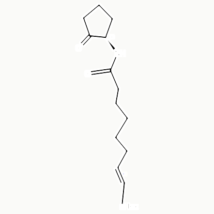 CCCCCC/C=C/CCCCCC(=O)N[C@@H]1CCCC1=O